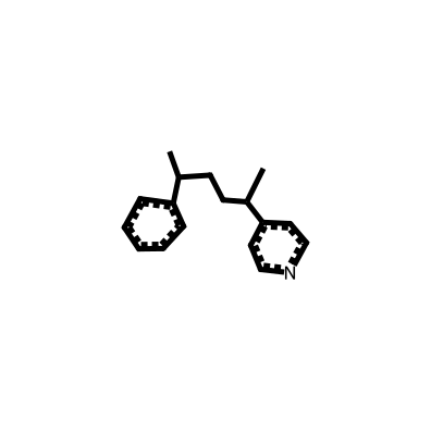 CC(CCC(C)c1ccncc1)c1ccccc1